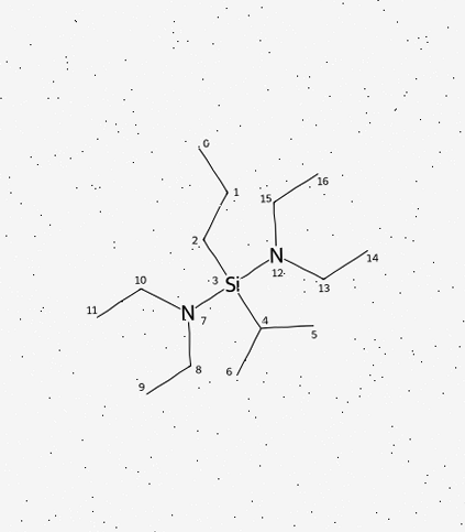 CCC[Si](C(C)C)(N(CC)CC)N(CC)CC